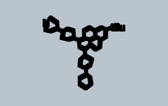 CC(C)(C)c1cc2ccc3c(-c4ccc(-c5ccccc5)cc4)cc(-c4ccc(-c5ccncc5)cc4)c4ccc(c1)c2c34